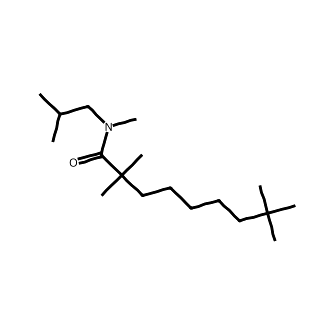 CC(C)CN(C)C(=O)C(C)(C)CCCCCC(C)(C)C